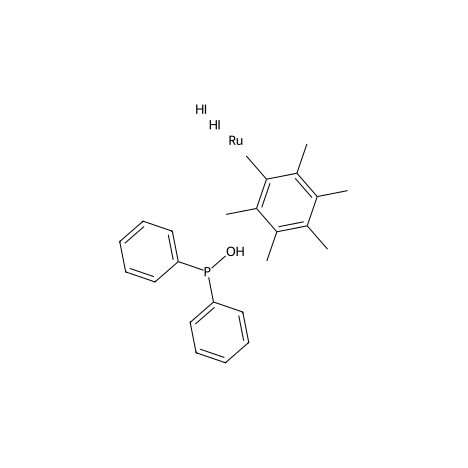 Cc1c(C)c(C)c(C)c(C)c1C.I.I.OP(c1ccccc1)c1ccccc1.[Ru]